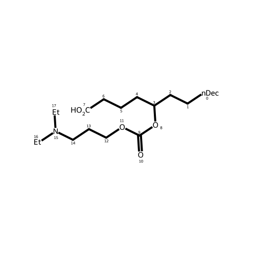 CCCCCCCCCCCCC(CCCC(=O)O)OC(=O)OCCCN(CC)CC